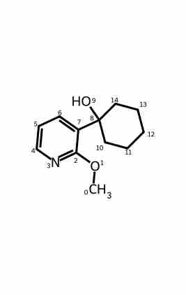 COc1ncccc1C1(O)CCCCC1